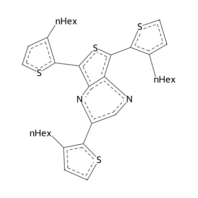 CCCCCCc1ccsc1-c1cnc2c(-c3sccc3CCCCCC)sc(-c3sccc3CCCCCC)c2n1